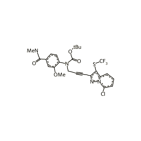 CNC(=O)c1ccc(N(CC#Cc2nn3c(Cl)cccc3c2SC(F)(F)F)C(=O)OC(C)(C)C)c(OC)c1